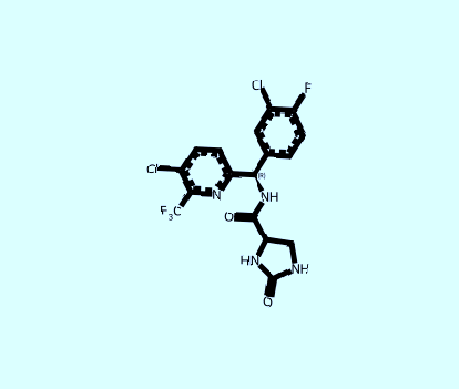 O=C1NCC(C(=O)N[C@H](c2ccc(F)c(Cl)c2)c2ccc(Cl)c(C(F)(F)F)n2)N1